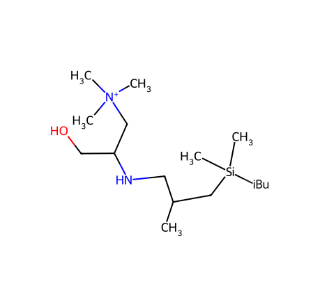 CCC(C)[Si](C)(C)CC(C)CNC(CO)C[N+](C)(C)C